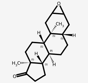 C[C@]12CC3OC3C[C@@H]1CC[C@@H]1[C@@H]2CC[C@]2(C)C(=O)CC[C@@H]12